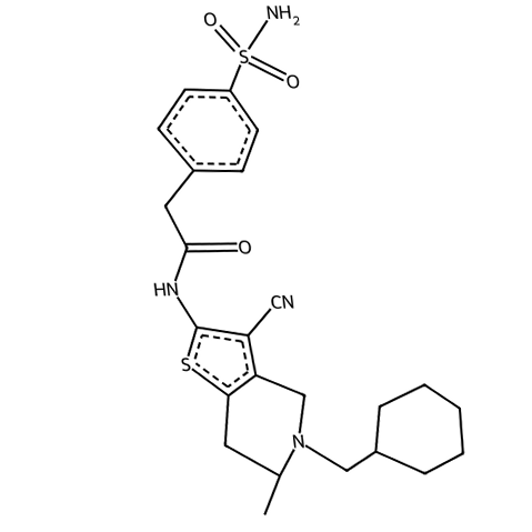 CC1Cc2sc(NC(=O)Cc3ccc(S(N)(=O)=O)cc3)c(C#N)c2CN1CC1CCCCC1